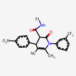 CCNC(=O)C1C(=O)N(c2cccc(C(F)(F)F)c2)C(C)=C(C#N)C1c1ccc([N+](=O)[O-])cc1